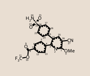 COc1nc(-c2ccc(C(=O)OC(F)(F)F)cc2)c(-c2ccc(S(N)(=O)=O)cc2)cc1C#N